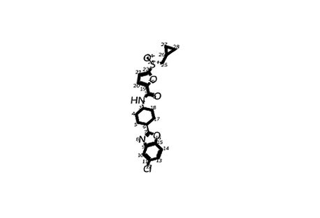 O=C(N[C@H]1CC[C@H](c2nc3cc(Cl)ccc3o2)CC1)c1ccc([S@@+]([O-])CC2CC2)o1